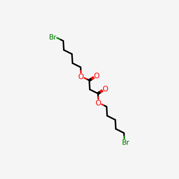 O=C(CC(=O)OCCCCCBr)OCCCCCBr